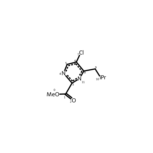 COC(=O)c1ncc(Cl)c(CC(C)C)n1